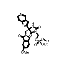 CCOP(=O)(OCC)OCN1C(=O)N[C@@](CN2Cc3ccc(OC)cc3C2=O)(c2cc3cnccc3o2)C1=O